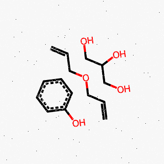 C=CCOCC=C.OCC(O)CO.Oc1ccccc1